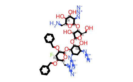 [N-]=[N+]=NC[C@H]1O[C@H](O[C@@H]2C(N=[N+]=[N-])CC(N=[N+]=[N-])[C@H](O)[C@H]2O[C@@H]2O[C@H](CO)[C@@H](O[C@H]3O[C@@H](CN)[C@@H](O)[C@H](O)C3N=[N+]=[N-])[C@H]2O)[C@H](OCc2ccccc2)[C@@H](F)[C@@H]1OCc1ccccc1